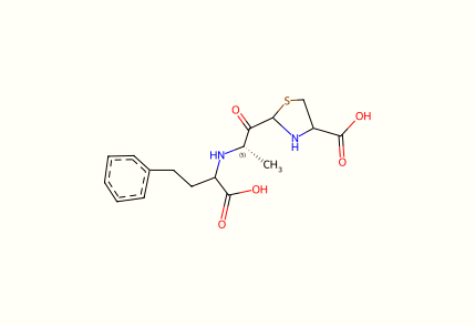 C[C@H](NC(CCc1ccccc1)C(=O)O)C(=O)C1NC(C(=O)O)CS1